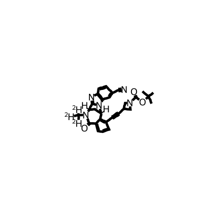 [2H]C([2H])([2H])N1C(=O)c2cccc(C#CC3CN(C(=O)OC(C)(C)C)C3)c2[C@H]2C[C@@H]1c1nc3ccc(C#N)cc3n12